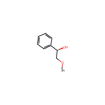 CC(C)OC[C@H](O)c1ccccc1